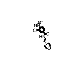 O=C(NCCN1CCOCC1)c1ccc([N+](=O)[O-])c(Cl)c1